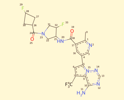 Cc1ncc(-c2cc(C(F)(F)F)c3c(N)ncnn23)cc1C(=O)NC1CN(C(=O)C2CC(F)C2)CC1F